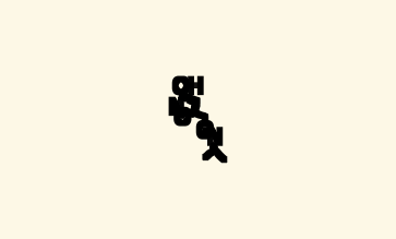 CC(C)=NOCc1cc(O)no1